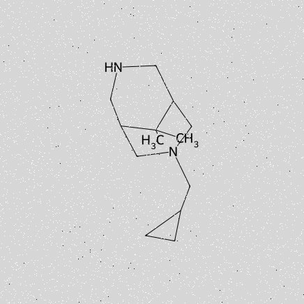 CC1(C)C2CNCC1CN(CC1CC1)C2